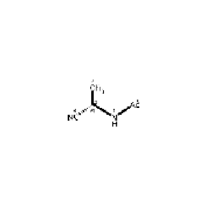 CC(=O)N[C@@H](C)C#N